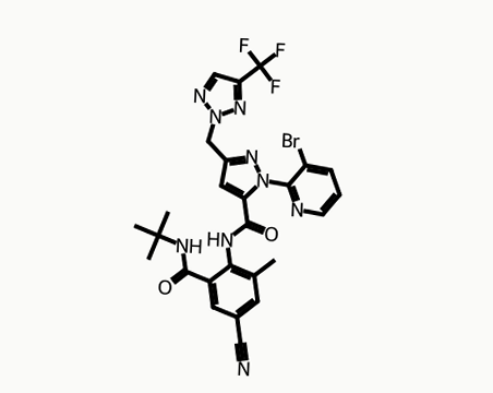 Cc1cc(C#N)cc(C(=O)NC(C)(C)C)c1NC(=O)c1cc(Cn2ncc(C(F)(F)F)n2)nn1-c1ncccc1Br